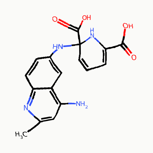 Cc1cc(N)c2cc(NC3(C(=O)O)C=CC=C(C(=O)O)N3)ccc2n1